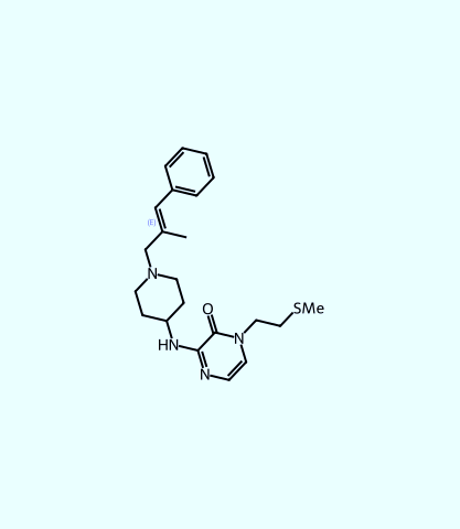 CSCCn1ccnc(NC2CCN(C/C(C)=C/c3ccccc3)CC2)c1=O